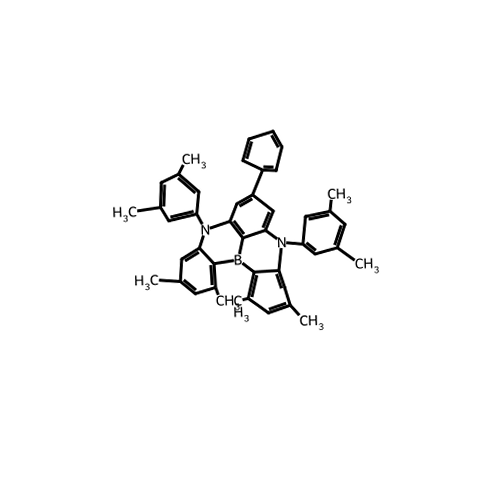 Cc1cc(C)cc(N2c3cc(C)cc(C)c3B3c4c(C)cc(C)cc4N(c4cc(C)cc(C)c4)c4cc(-c5ccccc5)cc2c43)c1